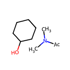 CC(=O)N(C)C.OC1CCCCC1